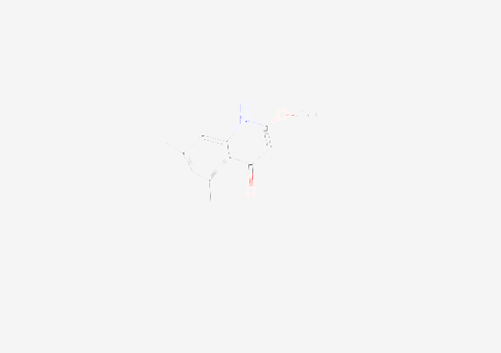 Cc1cc(I)cc2[nH]c(OC(=O)O)cc(=O)c12